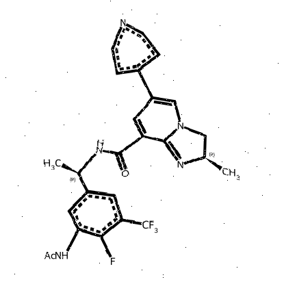 CC(=O)Nc1cc([C@@H](C)NC(=O)C2=CC(c3ccncc3)=CN3C[C@@H](C)N=C23)cc(C(F)(F)F)c1F